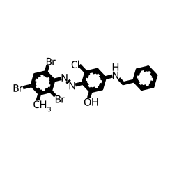 Cc1c(Br)cc(Br)c(N=Nc2c(O)cc(NCc3ccccc3)cc2Cl)c1Br